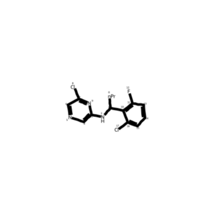 CCCC(Nc1cncc(Cl)n1)c1c(F)cccc1Cl